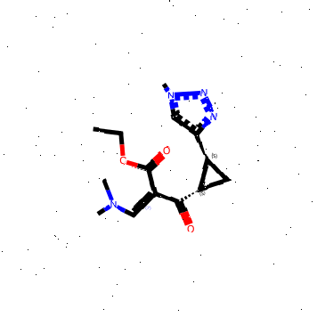 CCOC(=O)/C(=C\N(C)C)C(=O)[C@H]1C[C@@H]1c1cn(C)nn1